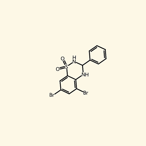 O=S1(=O)NC(c2ccccc2)Nc2c(Br)cc(Br)cc21